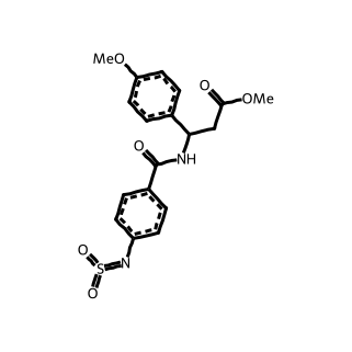 COC(=O)CC(NC(=O)c1ccc(N=S(=O)=O)cc1)c1ccc(OC)cc1